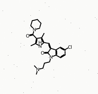 Cc1[nH]c(/C=C2\C(=O)N(CCCN(C)C)c3ccc(Cl)cc32)c(C)c1C(=O)N1CCCCC1